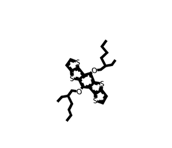 CCCCC(CC)COc1c2sc3ccsc3c2c(OCC(CC)CCCC)c2sc3ccsc3c12